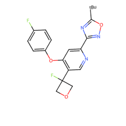 CC(C)(C)c1nc(-c2cc(Oc3ccc(F)cc3)c(C3(F)COC3)cn2)no1